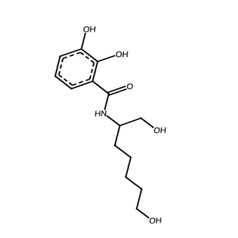 O=C(NC(CO)CCCCCO)c1cccc(O)c1O